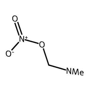 CNCO[N+](=O)[O-]